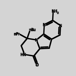 CCCCC1(CCC)CNC(=O)c2cc3cnc(N)nc3n21